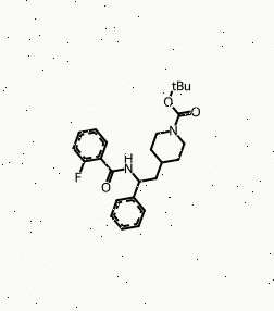 CC(C)(C)OC(=O)N1CCC(CC(NC(=O)c2ccccc2F)c2ccccc2)CC1